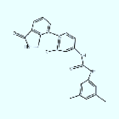 Cc1cc(C)cc(NC(=O)Nc2ccc(-c3cccc4c3CNC4=O)c(Cl)c2)c1